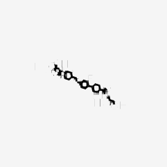 CC(C)(C)OC(=O)N1CCC(COc2ccc(C3=CCC(C(=O)NC[C@@H](O)CO)CC3)c(F)c2)CC1